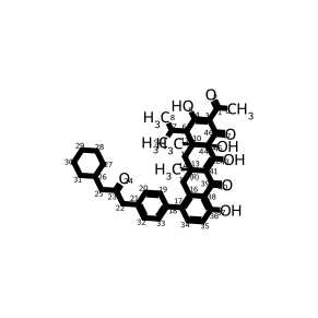 CC(=O)C1=C(O)C(C(C)C)[C@@]2(C)C[C@@]3(C)Cc4c(-c5ccc(CC(=O)CC6CCCCC6)cc5)ccc(O)c4C(=O)C3=C(O)[C@@]2(O)C1=O